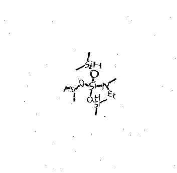 CCN(C)[Si](O[SiH](C)C)(O[SiH](C)C)O[SiH](C)C